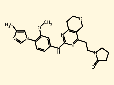 COc1cc(Nc2nc3c(c(CCN4CCCC4=O)n2)COCC3)ccc1-n1cnc(C)c1